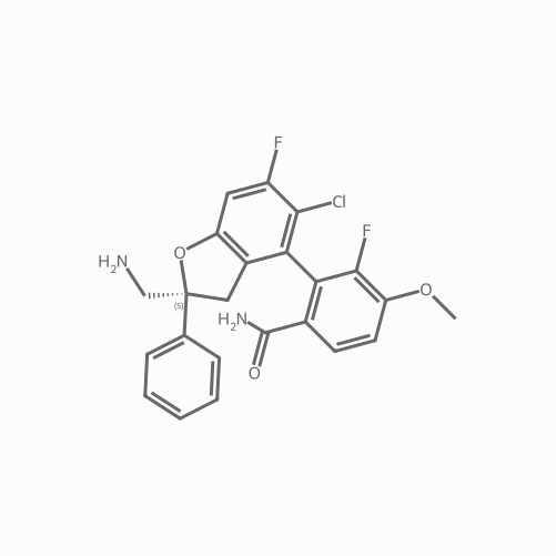 COc1ccc(C(N)=O)c(-c2c(Cl)c(F)cc3c2C[C@@](CN)(c2ccccc2)O3)c1F